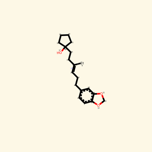 CC/C(=C\CCc1ccc2c(c1)OCO2)CCC1(O)CCCC1